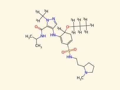 [2H]C1(OC([2H])([2H])C([2H])([2H])C([2H])([2H])[2H])CC=C(S(=O)(=O)NCCC2CCCN2C)C=C1Nc1cnn(C([2H])([2H])[2H])c1C(=O)NC(C)C